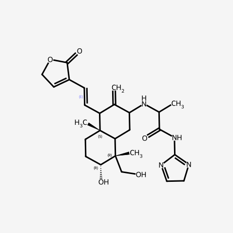 C=C1C(NC(C)C(=O)NC2=NCC=N2)CC2[C@](C)(CC[C@@H](O)[C@@]2(C)CO)C1/C=C/C1=CCOC1=O